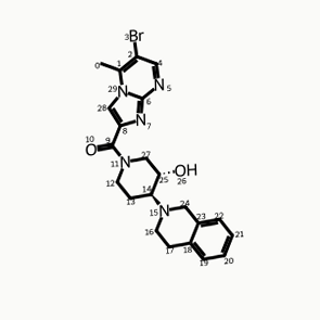 Cc1c(Br)cnc2nc(C(=O)N3CC[C@H](N4CCc5ccccc5C4)[C@@H](O)C3)cn12